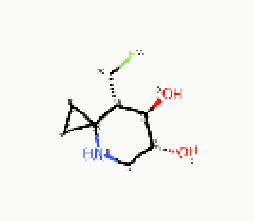 O[C@H]1[C@H](O)CNC2(CC2)[C@@H]1CF